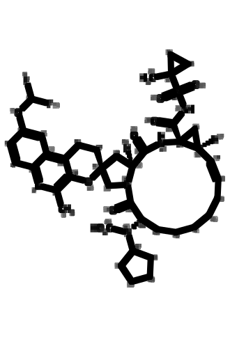 Cc1nc2ccc(OC(F)F)cc2c2c1O[C@]1(CC2)C[C@H]2C(=O)N[C@]3(C(=O)NS(=O)(=O)C4(C)CC4)C[C@H]3/C=C\CCCCC[C@H](N(C(=O)O)C3CCCC3)C(=O)N2C1